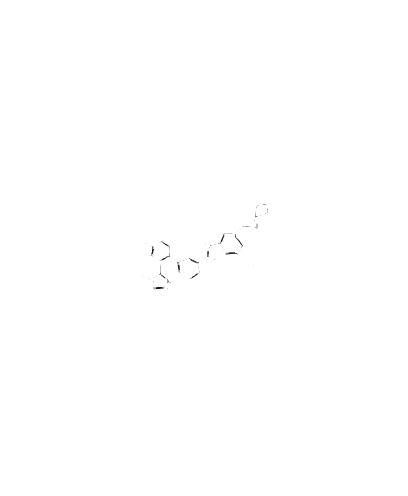 Cn1cnnc1-c1cc(F)ccc1-c1cccc(-c2nc3cc(CNC4CCC4)cc(C(F)(F)F)c3o2)c1